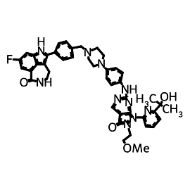 COCCn1c(=O)c2cnc(Nc3ccc(N4CCN(Cc5ccc(-c6[nH]c7cc(F)cc8c7c6CCNC8=O)cc5)CC4)cc3)nc2n1-c1cccc(C(C)(C)O)n1